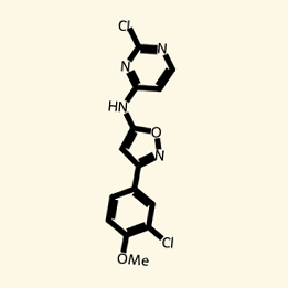 COc1ccc(-c2cc(Nc3ccnc(Cl)n3)on2)cc1Cl